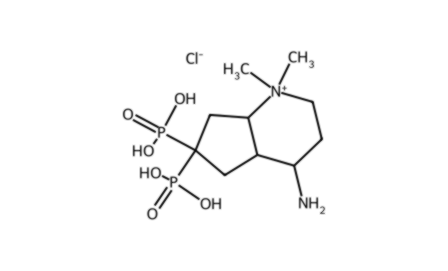 C[N+]1(C)CCC(N)C2CC(P(=O)(O)O)(P(=O)(O)O)CC21.[Cl-]